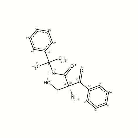 CC(C)(NC(=O)[C@](N)(CO)C(=O)c1ccccc1)c1ccccc1